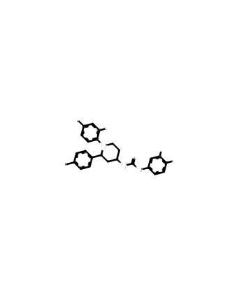 O=C(Nc1ccc(Cl)c(Cl)c1)NC1CCN(c2ccc(Cl)cc2Cl)C(c2ccc(Cl)cc2)C1